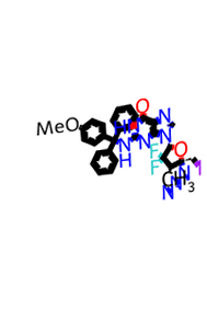 COc1ccc(C(Nc2nc3c(ncn3[C@@H]3O[C@@](CI)(N=[N+]=[N-])[C@@H](C)C3(F)F)c(=O)[nH]2)(c2ccccc2)c2ccccc2)cc1